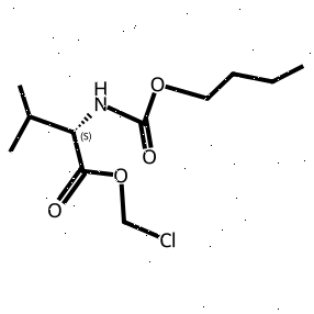 CCCCOC(=O)N[C@H](C(=O)OCCl)C(C)C